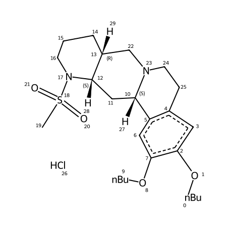 CCCCOc1cc2c(cc1OCCCC)[C@@H]1C[C@H]3[C@H](CCCN3S(C)(=O)=O)CN1CC2.Cl